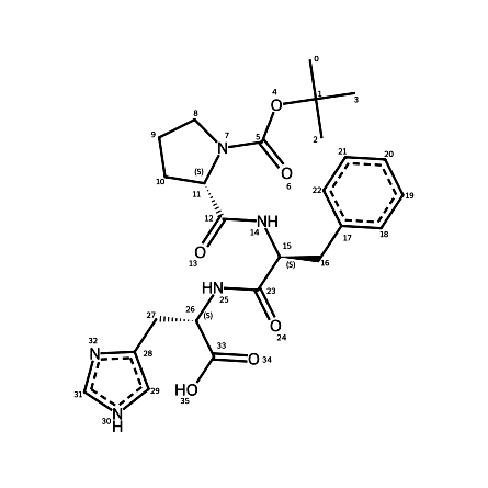 CC(C)(C)OC(=O)N1CCC[C@H]1C(=O)N[C@@H](Cc1ccccc1)C(=O)N[C@@H](Cc1c[nH]cn1)C(=O)O